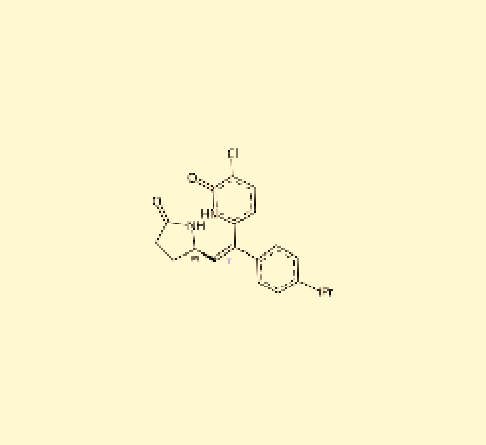 CC(C)c1ccc(/C(=C/[C@H]2CCC(=O)N2)c2ccc(Cl)c(=O)[nH]2)cc1